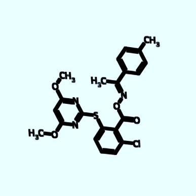 COc1cc(OC)nc(Sc2cccc(Cl)c2C(=O)O/N=C(\C)c2ccc(C)cc2)n1